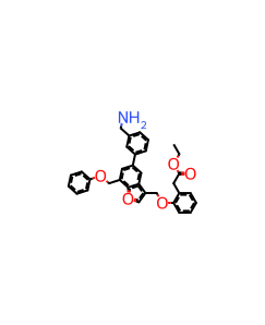 CCOC(=O)Cc1ccccc1OCc1coc2c(COc3ccccc3)cc(-c3cccc(CN)c3)cc12